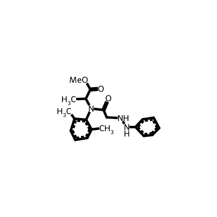 COC(=O)C(C)N(C(=O)CNNc1ccccc1)c1c(C)cccc1C